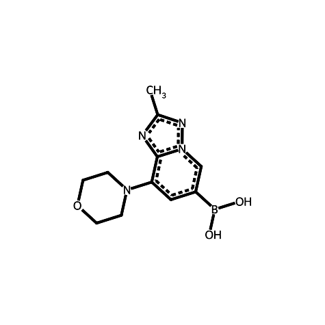 Cc1nc2c(N3CCOCC3)cc(B(O)O)cn2n1